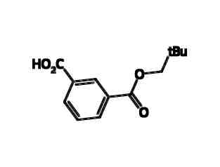 CC(C)(C)COC(=O)c1cccc(C(=O)O)c1